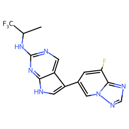 CC(Nc1ncc2c(-c3cc(F)c4ncnn4c3)c[nH]c2n1)C(F)(F)F